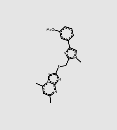 COc1cccc(-c2cn(C)c(CSc3nc4nc(C)cc(C)n4n3)n2)c1